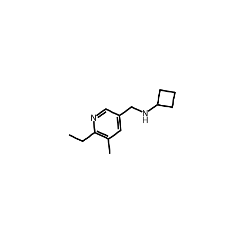 CCc1ncc(CNC2CCC2)cc1C